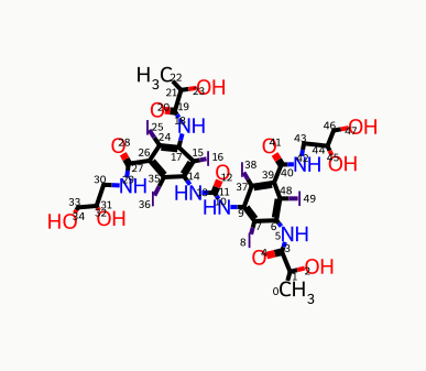 CC(O)C(=O)Nc1c(I)c(NC(=O)Nc2c(I)c(NC(=O)C(C)O)c(I)c(C(=O)NCC(O)CO)c2I)c(I)c(C(=O)NCC(O)CO)c1I